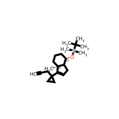 C#CCC1(C2=CCC3[C@@H](O[Si](C)(C)C(C)(C)C)CCC[C@]23C)CC1